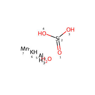 O.O=[Si](O)O.[AlH3].[KH].[Mn]